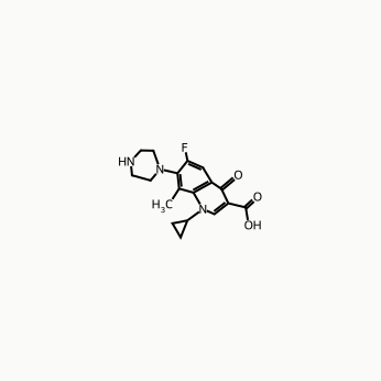 Cc1c(N2CCNCC2)c(F)cc2c(=O)c(C(=O)O)cn(C3CC3)c12